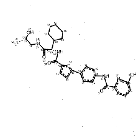 Cc1cccc(C(=O)Nc2ccc(-c3ccc(C(=O)N[C@H](C(=O)NC[C@H](C)O)C4CCCCC4)o3)cc2)n1